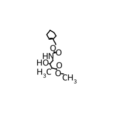 CCOC(=O)C(C)C(O)CNC(=O)OCC1=CCCCC1